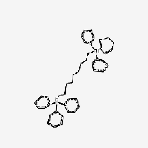 C1=CC([PH](CCCCCCCCC[PH](c2ccccc2)(c2ccccc2)c2ccccc2)(c2ccccc2)c2ccccc2)=CCC1